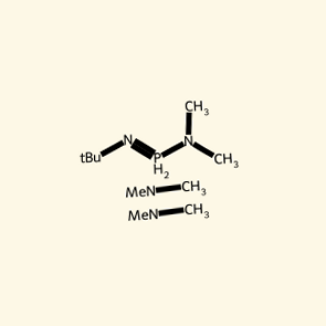 CN(C)/[PH2]=N/C(C)(C)C.CNC.CNC